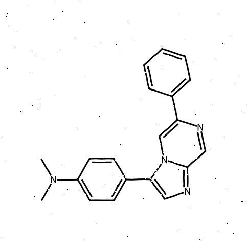 CN(C)c1ccc(-c2cnc3cnc(-c4cc[c]cc4)cn23)cc1